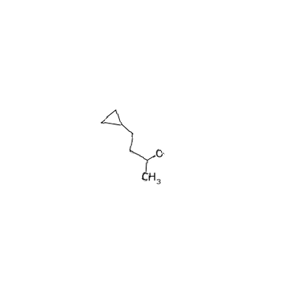 CC([O])CCC1CC1